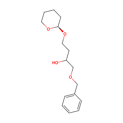 OC(CCO[C@@H]1CCCCO1)COCc1ccccc1